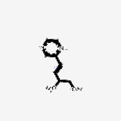 CC(=O)OCC(/C=C/c1cnccn1)OC(C)=O